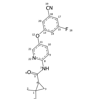 CC1(C)CC1C(=O)Nc1ccc(Oc2cc(F)cc(C#N)c2)cn1